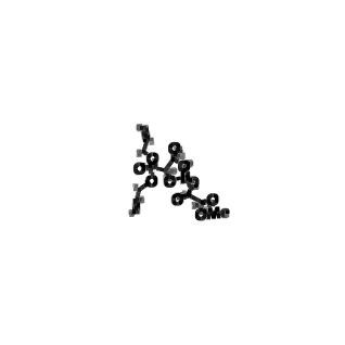 C#CCOP(=O)(OCC#C)C1OB(OC(=O)C(=O)OC)OC1=O